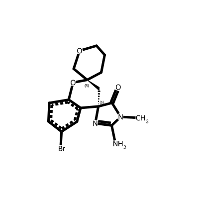 CN1C(=O)[C@@]2(C[C@@]3(CCCOC3)Oc3ccc(Br)cc32)N=C1N